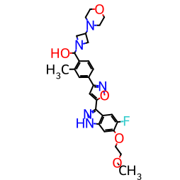 COCCOc1cc2[nH]nc(-c3cc(-c4ccc(C(O)N5CC(N6CCOCC6)C5)c(C)c4)no3)c2cc1F